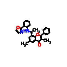 Cc1cc([C@@H](C)Nc2ccccc2-c2ncco2)c2oc(-c3ccccc3)c(C)c(=O)c2c1